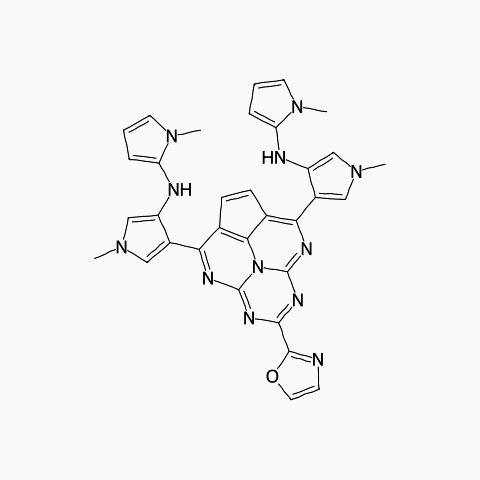 Cn1cc(Nc2cccn2C)c(-c2nc3nc(-c4ncco4)nc4nc(-c5cn(C)cc5Nc5cccn5C)c5ccc2c5n34)c1